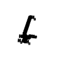 CN=NN=NN=NN=NN=NN=NN=NN=NN=NN=NOc1ccc(/C=N/c2cc(C)c(C)cc2/N=C/c2ccc(OC)cc2O)c(O)c1